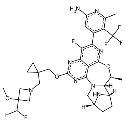 COC1(C(F)F)CN(CC2(COc3nc4c5c(nc(-c6cc(N)nc(C)c6C(F)(F)F)c(F)c5n3)O[C@@H](C)[C@@H]3[C@@H]5CC[C@H](CN43)N5)CC2)C1